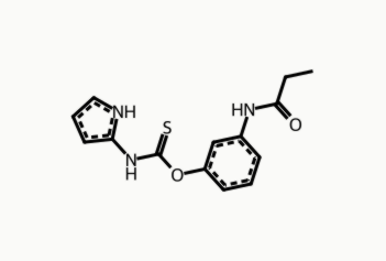 CCC(=O)Nc1cccc(OC(=S)Nc2ccc[nH]2)c1